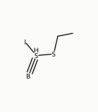 B#[SH](I)SCC